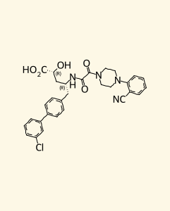 N#Cc1ccccc1N1CCN(C(=O)C(=O)N[C@H](Cc2ccc(-c3cccc(Cl)c3)cc2)C[C@@H](O)C(=O)O)CC1